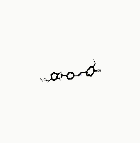 COc1ccc2nc(-c3ccc(/C=C/c4ccc(O)c(N=O)c4)cc3)sc2c1